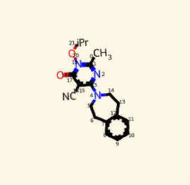 Cc1nc(N2CCc3ccccc3CC2)c(C#N)c(=O)n1OC(C)C